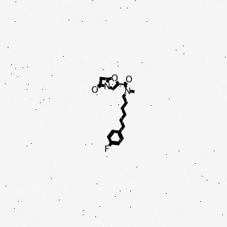 CN(CCCCCCc1ccc(F)cc1)C(=O)[C@H]1CN2C(=O)CC2O1